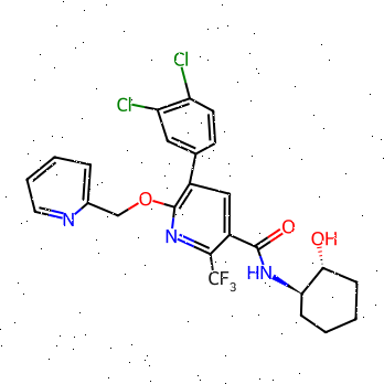 O=C(N[C@@H]1CCCC[C@H]1O)c1cc(-c2ccc(Cl)c(Cl)c2)c(OCc2ccccn2)nc1C(F)(F)F